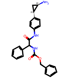 N[C@@H]1C[C@H]1c1ccc(NC(=O)C(NC(=O)OCc2ccccc2)c2ccccc2)cc1